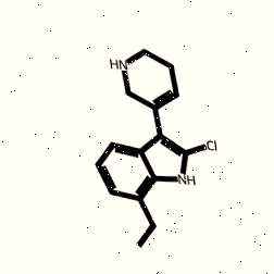 CCc1cccc2c(C3=CCCNC3)c(Cl)[nH]c12